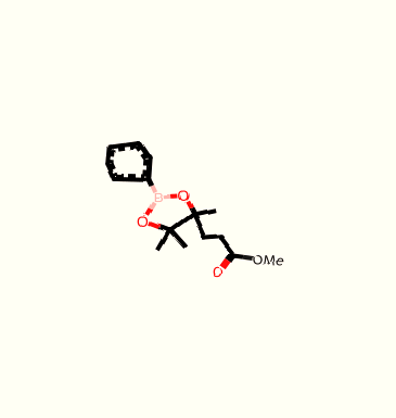 COC(=O)CCC1(C)OB(c2ccccc2)OC1(C)C